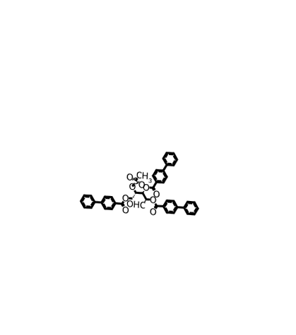 CS(=O)(=O)O[C@@H](COC(=O)c1ccc(-c2ccccc2)cc1)[C@H](OC(=O)c1ccc(-c2ccccc2)cc1)[C@@H](C=O)OC(=O)c1ccc(-c2ccccc2)cc1